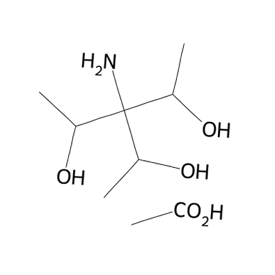 CC(=O)O.CC(O)C(N)(C(C)O)C(C)O